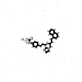 CC(=O)Nc1ccc(CCCSC(CCc2cccc3ccccc23)Cn2ccnc2)cc1